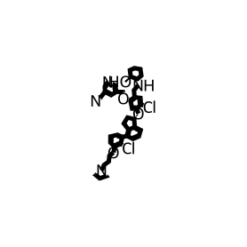 N#Cc1cncc(COc2cc(O[C@H]3CCc4c(-c5cccc(OCCCN6CCC6)c5Cl)cccc43)c(Cl)cc2CN[C@@H]2CCCC[C@@H]2O)c1